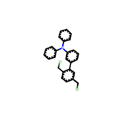 ClCc1ccc(CCl)c(-c2cccc(N(c3ccccc3)c3ccccc3)c2)c1